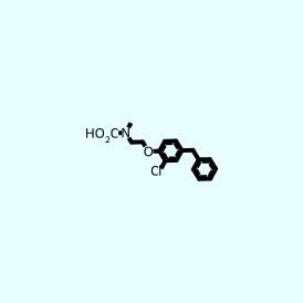 CN(CCOc1ccc(Cc2ccccc2)cc1Cl)C(=O)O